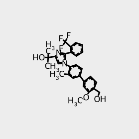 COc1cc(-c2ccc(-n3cc(C(C)(C)O)nc3-c3ccccc3C(F)(F)F)c(C)c2)ccc1CO